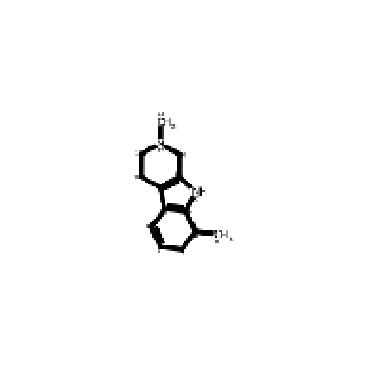 CC1CC=Cc2c1[nH]c1c2CCN(C)C1